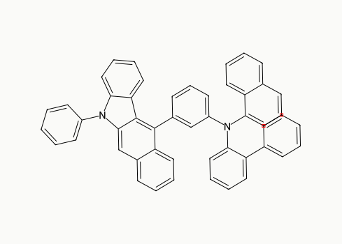 c1ccc(-c2ccccc2N(c2cccc(-c3c4ccccc4cc4c3c3ccccc3n4-c3ccccc3)c2)c2cccc3ccccc23)cc1